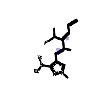 C=C/C=C(/C(C)=C/c1cn(C)nc1N(CC)CC)C(C)F